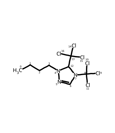 CCCCN1N=CN(C(Cl)(Cl)Cl)C1C(Cl)(Cl)Cl